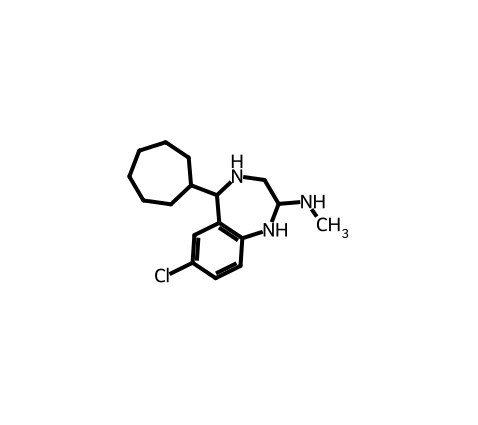 CNC1CNC(C2CCCCCC2)c2cc(Cl)ccc2N1